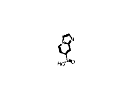 O=S(O)c1ccn2ccnc2c1